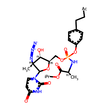 CC(=O)CCc1ccc(OP(=O)(N[C@@H](C)C(=O)OC(C)C)OC[C@H]2OC(n3ccc(=O)[nH]c3=O)[C@](C)(N=[N+]=[N-])[C@@H]2O)cc1